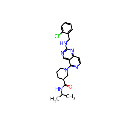 CC(C)NC(=O)C1CCCN(c2nccc3nc(NCc4ccccc4Cl)ncc23)C1